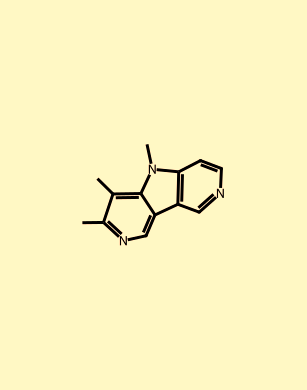 Cc1ncc2c3cnccc3n(C)c2c1C